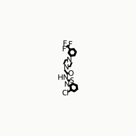 O=C(CN1CCN(c2cccc(C(F)(F)F)c2)CC1)Nc1nc2c(Cl)cccc2s1